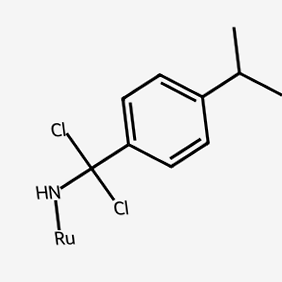 CC(C)c1ccc(C(Cl)(Cl)[NH][Ru])cc1